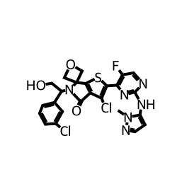 Cn1nccc1Nc1ncc(F)c(-c2sc3c(c2Cl)C(=O)N(C(CO)c2cccc(Cl)c2)C32COC2)n1